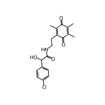 CC1=C(C)C(=O)C(CCNC(=O)C(O)c2ccc(Cl)cc2)=C(C)C1=O